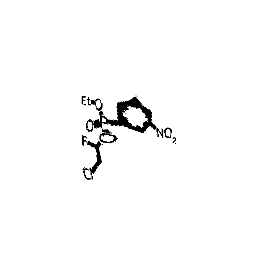 CCOP(=O)(OC(F)CCl)c1cccc([N+](=O)[O-])c1